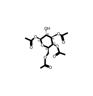 CC(=O)OC[C@H]1O[C@@H](OC(C)=O)[C@H](O)[C@@H](OC(C)=O)[C@H]1OC(C)=O